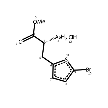 COC(=O)[C@H]([AsH2])Cc1ccc(Br)s1.Cl